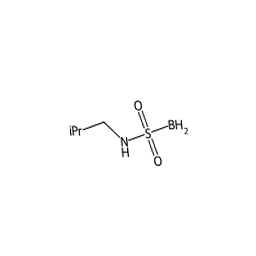 BS(=O)(=O)NCC(C)C